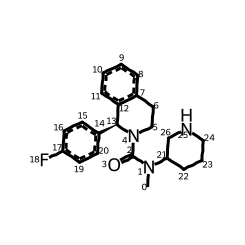 CN(C(=O)N1CCc2ccccc2[C@@H]1c1ccc(F)cc1)C1CCCNC1